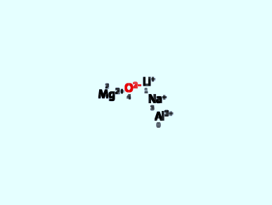 [Al+3].[Li+].[Mg+2].[Na+].[O-2]